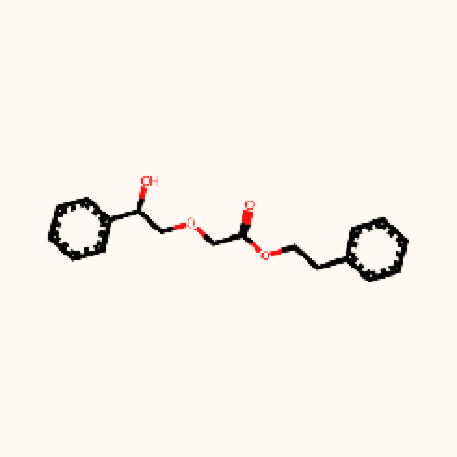 O=C(COCC(O)c1ccccc1)OCCc1ccccc1